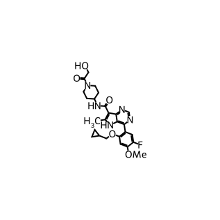 COc1cc(OCC2CC2)c(-c2ncnc3c(C(=O)NC4CCN(C(=O)CO)CC4)c(C)[nH]c23)cc1F